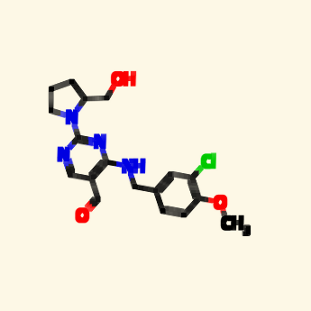 COc1ccc(CNc2nc(N3CCCC3CO)ncc2C=O)cc1Cl